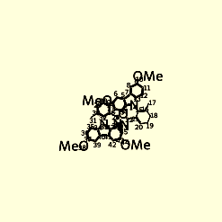 COc1ccc2c(c1)c1cc(OC)ccc1n2C1=C(C)CCC=C1c1nnc(-c2cccc(C)c2-n2c3ccc(OC)cc3c3cc(OC)ccc32)o1